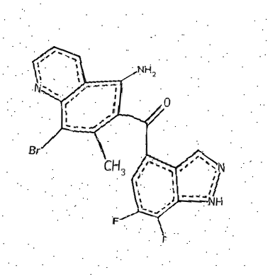 Cc1c(C(=O)c2cc(F)c(F)c3[nH]ncc23)c(N)c2cccnc2c1Br